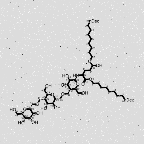 CCCCCCCCCCCCCCCCCCOC(=O)C(CCC(O)OCCCCCCCCCCCCCCCCCC)N[C@H]1OC(CO)[C@@H](COC[C@H]2OC(CO)[C@@H](COC[C@H]3OC(CO)[C@@H](O)[C@@H](O)C3O)[C@@H](O)C2O)[C@@H](O)C1O